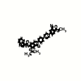 COC(=O)c1ccc(N2CCN([C@H]3CC[C@H](N4Cc5cc(NC(=O)c6cnn7cccnc67)c(OC(C)C)cc5C4=O)CC3)CC2)cc1C#N